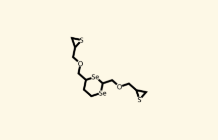 C1CC(COCC2CS2)[Se]C(COCC2CS2)[Se]1